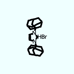 Br.C1=CN(C23CC4CC(CC(C4)C2)C3)CN1C12CC3CC(CC(C3)C1)C2